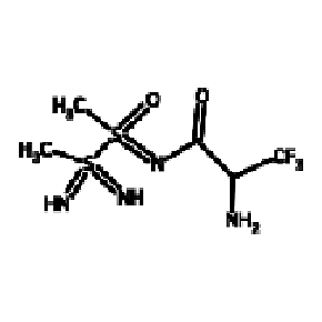 CS(=N)(=N)S(C)(=O)=NC(=O)C(N)C(F)(F)F